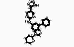 c1ccc(-c2cc(Nc3ncc(-c4nnn[nH]4)cn3)cc3c2ncn3C2CCCCO2)cc1